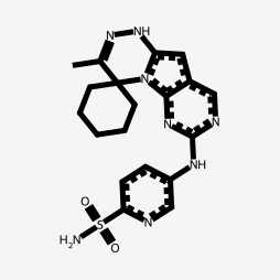 CC1=NNc2cc3cnc(Nc4ccc(S(N)(=O)=O)nc4)nc3n2C12CCCCC2